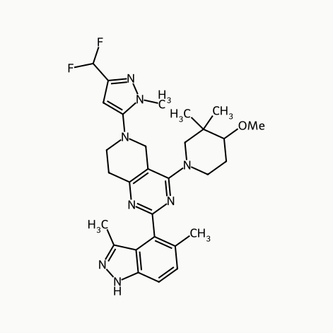 COC1CCN(c2nc(-c3c(C)ccc4[nH]nc(C)c34)nc3c2CN(c2cc(C(F)F)nn2C)CC3)CC1(C)C